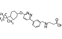 CC(C)(C)C1CCC(Oc2ccc(-c3cccc(CNCCC(=O)O)c3)nn2)CC1